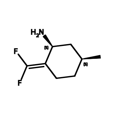 C[C@H]1CCC(=C(F)F)[C@@H](N)C1